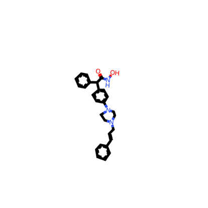 O=C(NO)C(c1ccccc1)c1ccc(N2CCN(C/C=C/c3ccccc3)CC2)cc1